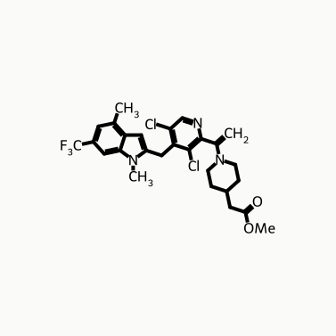 C=C(c1ncc(Cl)c(Cc2cc3c(C)cc(C(F)(F)F)cc3n2C)c1Cl)N1CCC(CC(=O)OC)CC1